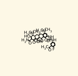 CC(=O)c1cc(NC(=O)Nc2cc(N(C)C)c3c(c2O)C(=O)C2=C(O)C4(O)C(=O)C(C(N)=O)=C(O)C(N(C)C)C4CC2C3)ccc1F